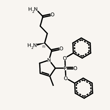 CC1=CCN(C(=O)[C@@H](N)CCC(N)=O)C1P(=O)(Oc1ccccc1)Oc1ccccc1